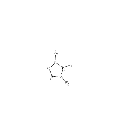 CCC1CSC(CC)N1C